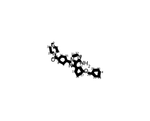 CN1CCN(C(=O)C2CCC(c3nc(-c4cccc(OCc5ccccc5)c4)c4c(N)nccn34)CC2)CC1